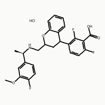 COc1cc([C@@H](C)NCC2CC(c3ccc(F)c(C(=O)O)c3F)c3ccccc3O2)ccc1F.Cl